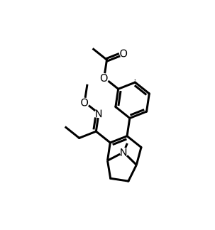 CCC(=NOC)C1=C(c2cc[c]c(OC(C)=O)c2)CC2CCC1N2C